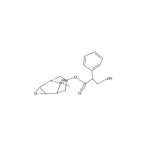 CCCC[N+]1(C)C2CC(OC(=O)C(CO)c3ccccc3)CC1C1OC12